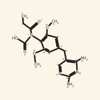 CCC(=O)N(C(=O)O)c1c(OC)cc(Cc2cnc(N)nc2N)cc1OC